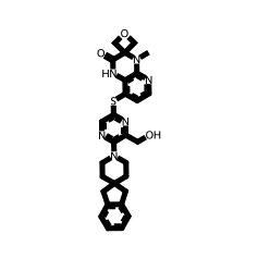 CN1c2nccc(Sc3cnc(N4CCC5(CC4)Cc4ccccc4C5)c(CO)n3)c2NC(=O)C12COC2